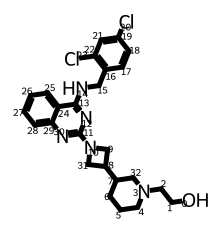 OCCN1CCCC(C2CN(c3nc(NCc4ccc(Cl)cc4Cl)c4ccccc4n3)C2)C1